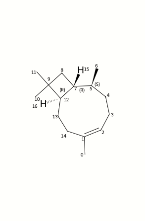 CC1=CCC[C@H](C)[C@H]2CC(C)(C)[C@@H]2CC1